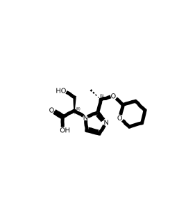 C[C@H](OC1CCCCO1)c1nccn1[C@H](CO)C(=O)O